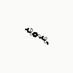 CCOC(=O)/C=C(\C)COc1ccc(OC(CC(C)C)OC)cc1